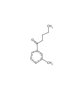 [CH2]c1cccc(C(=O)CCCC)c1